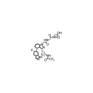 CC(=O)NCCCc1nn(CC(=O)NCC(=O)NCC(=O)O)c2cccc(-c3cc4c(cnn4C)cc3F)c12